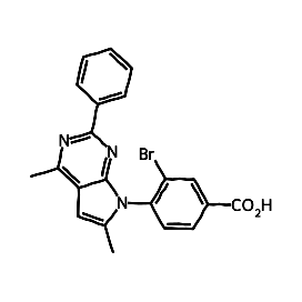 Cc1nc(-c2ccccc2)nc2c1cc(C)n2-c1ccc(C(=O)O)cc1Br